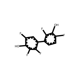 Oc1c(F)ccc(-c2cc(F)c(O)c(F)c2F)c1F